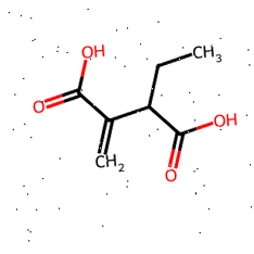 C=C(C(=O)O)C(CC)C(=O)O